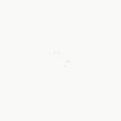 O.O.P.[SiH4]